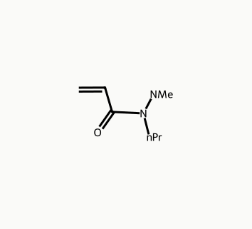 C=CC(=O)N(CCC)NC